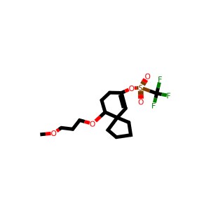 COCCCOC1CCC(OS(=O)(=O)C(F)(F)F)=CC12CCCC2